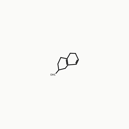 O=CC1CCC2=C(C=CCC2)C1